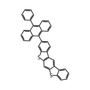 c1ccc(-c2c3ccccc3c(-c3ccc4c(c3)sc3cc5sc6ccccc6c5cc34)c3ccccc23)cc1